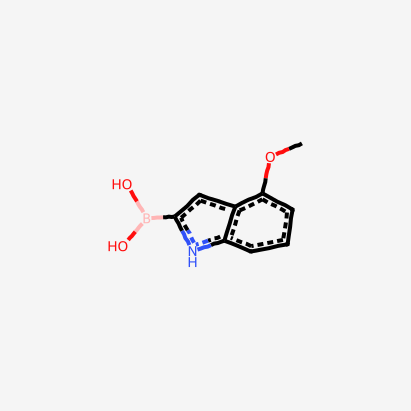 COc1cccc2[nH]c(B(O)O)cc12